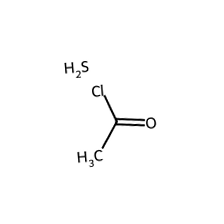 CC(=O)Cl.S